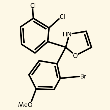 COc1ccc(C2(c3cccc(Cl)c3Cl)NC=CO2)c(Br)c1